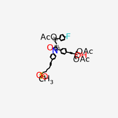 CC(=O)OCC(O)(C#Cc1ccc([C@@H]2[C@@H](CC[C@H](OC(C)=O)c3ccc(F)cc3)C(=O)N2c2ccc(C#CCCCCS(C)(=O)=O)cc2)cc1)COC(C)=O